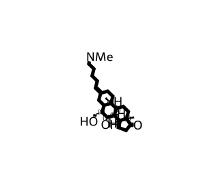 CNCCCCC=C1CC[C@@]2(C)C(C1)[C@@H](CO)[C@@H](O)[C@@H]1[C@@H]2CC[C@]2(C)C(=O)CC[C@@H]12